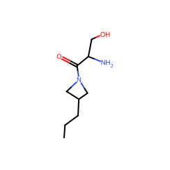 CCCC1CN(C(=O)C(N)CO)C1